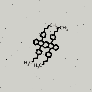 CCCCc1ccc(-c2c3ccccc3c(-c3ccc(CCCC)cc3)c3cc4c(-c5ccc(CCCC)cc5)c5ccccc5c(-c5ccc(CCCC)cc5)c4cc23)cc1